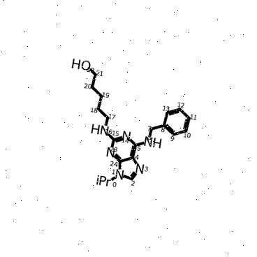 CC(C)n1cnc2c(NCc3ccccc3)nc(NCCCCCO)nc21